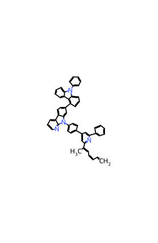 C=C/C=C\C=C(/C)c1cc(-c2ccc(-n3c4cc(-c5cccc6c5c5ccccc5n6-c5ccccc5)ccc4c4cccnc43)cc2)cc(-c2ccccc2)n1